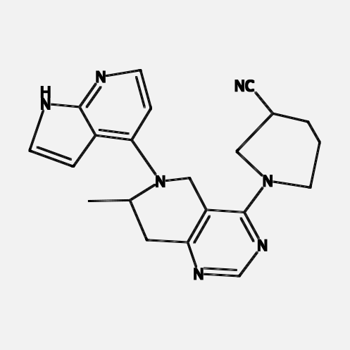 CC1Cc2ncnc(N3CCCC(C#N)C3)c2CN1c1ccnc2[nH]ccc12